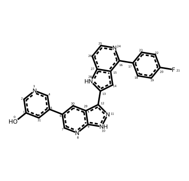 Oc1cncc(-c2cnc3[nH]nc(-c4cc5c(-c6ccc(F)cc6)nccc5[nH]4)c3c2)c1